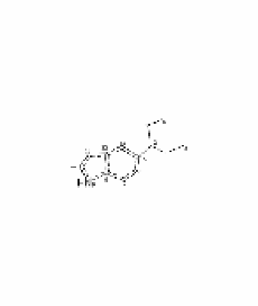 CCC(CC)c1ccc2[nH]ccc2c1